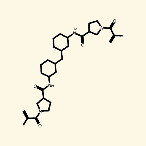 C=C(C)C(=O)N1CCC(C(=O)NC2CCCC(CC3CCCC(NC(=O)C4CCN(C(=O)C(=C)C)C4)C3)C2)C1